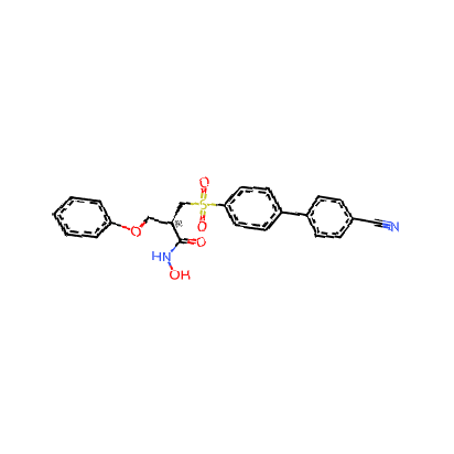 N#Cc1ccc(-c2ccc(S(=O)(=O)C[C@H](COc3ccccc3)C(=O)NO)cc2)cc1